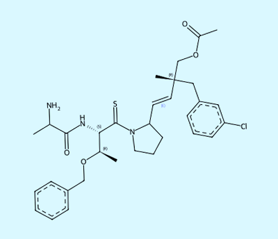 CC(=O)OC[C@@](C)(/C=C/C1CCCN1C(=S)[C@@H](NC(=O)C(C)N)[C@@H](C)OCc1ccccc1)Cc1cccc(Cl)c1